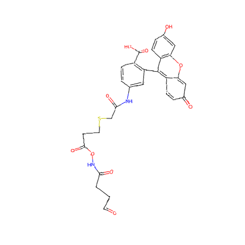 O=CCCC(=O)NOC(=O)CCSCC(=O)Nc1ccc(C(=O)O)c(-c2c3ccc(=O)cc-3oc3cc(O)ccc23)c1